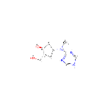 CN(c1ncncn1)[C@@H]1C[C@H](CO)[C@@H](O)C1